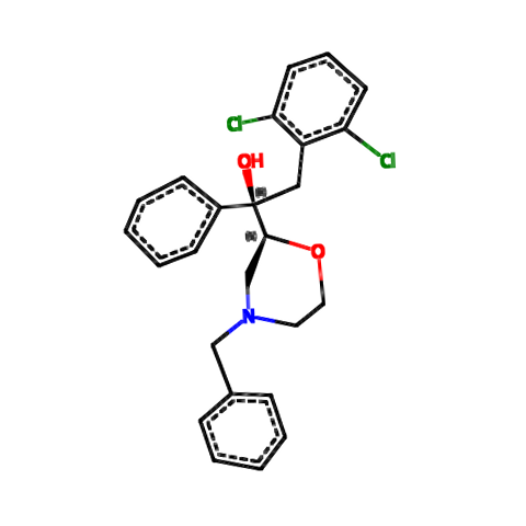 O[C@](Cc1c(Cl)cccc1Cl)(c1ccccc1)[C@@H]1CN(Cc2ccccc2)CCO1